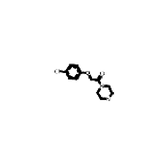 O=C(COc1ccc(Cl)cc1)N1CC[N]CC1